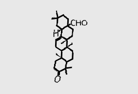 CC1(C)CCC2(C=O)CC[C@@]3(C)C(=CCC4[C@@]5(C)CCC(=O)C(C)(C)C5CC[C@]43C)[C@@H]2C1